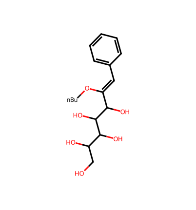 CCCCOC(=Cc1ccccc1)C(O)C(O)C(O)C(O)CO